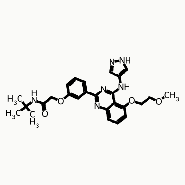 COCCOc1cccc2nc(-c3cccc(OCC(=O)NC(C)(C)C)c3)nc(Nc3cn[nH]c3)c12